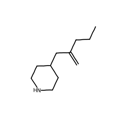 C=C(CCC)CC1CCNCC1